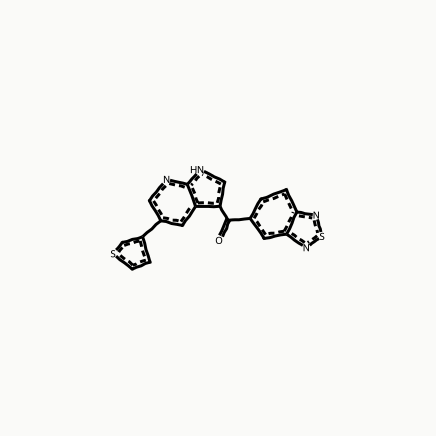 O=C(c1ccc2nsnc2c1)c1c[nH]c2ncc(-c3ccsc3)cc12